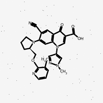 Cc1cccnc1OC[C@H]1CCCN1c1cc2c(cc1C#N)c(=O)c(C(=O)O)cn2-c1cnn(C)c1